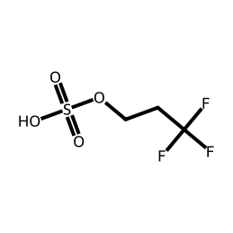 O=S(=O)(O)OCCC(F)(F)F